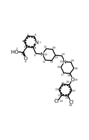 O=C(O)c1cccnc1CN1CCC(CN2CCC(Oc3ccc(Cl)c(Cl)c3)CC2)CC1